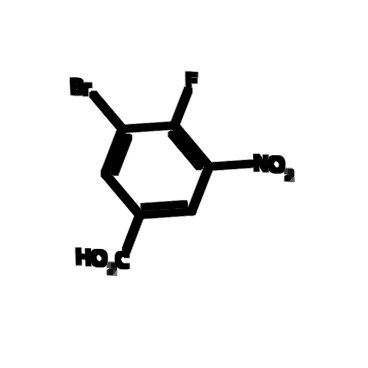 O=C(O)c1cc(Br)c(F)c([N+](=O)[O-])c1